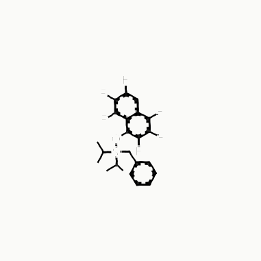 CC(C)[Si](Cc1ccccc1)(Oc1c(F)c(F)c(F)c2[c]c(F)c(F)c(F)c12)C(C)C